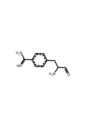 N=C(N)c1ccc(CC(N)C=O)cc1